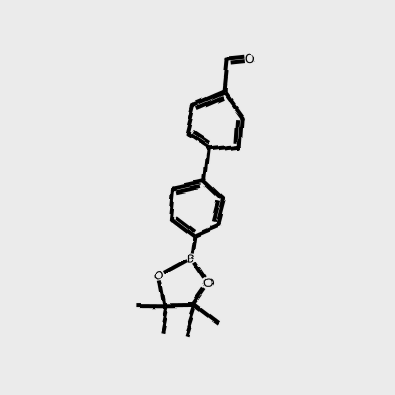 CC1(C)OB(c2ccc(-c3ccc(C=O)cc3)cc2)OC1(C)C